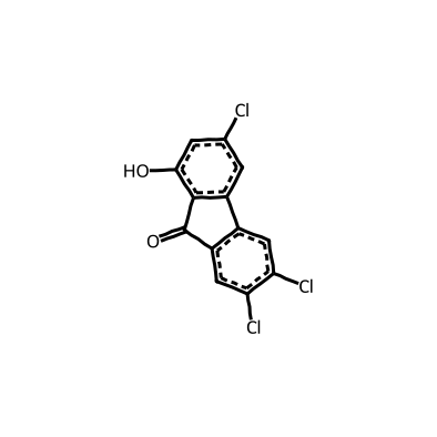 O=C1c2cc(Cl)c(Cl)cc2-c2cc(Cl)cc(O)c21